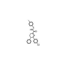 Cc1ccc(SNC(=O)N2CCC(c3ccccc3)C(c3ccc(Cl)cc3)=N2)cc1